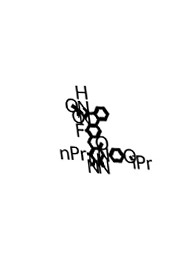 CCCc1c(Cc2ccc(-c3ccccc3-c3noc(=O)[nH]3)cc2F)c(=O)n(-c2ccc(OC(C)C)cc2)c2ncnn12